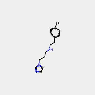 CCc1ccc(CCNCCCn2ccnc2)cc1